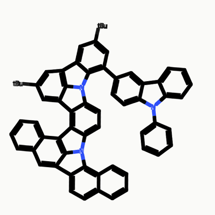 CC(C)(C)c1cc(-c2ccc3c(c2)c2ccccc2n3-c2ccccc2)c2c(c1)c1cc(C(C)(C)C)cc3c4c5c6c7ccccc7cc7c8ccc9ccccc9c8n(c5ccc4n2c13)c76